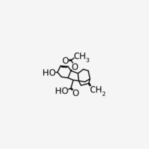 C=C1CC23CC1CCC2C1(OC(C)=O)C=CC(O)CC1C3C(=O)O